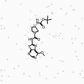 COc1ncnc2sc(NC(=O)N3CC[C@H](NC(=O)OC(C)(C)C)C3)nc12